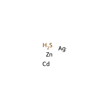 S.[Ag].[Cd].[Zn]